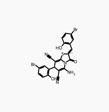 N#CC1=C(N)n2c(s/c(=C\c3cc(Br)ccc3O)c2=O)=C(C#N)C1c1cc(Br)ccc1O